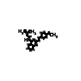 CSc1ccc(/C=C/c2nc(NCCN(C)C)c3ccccc3n2)cc1